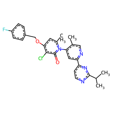 Cc1cnc(-c2ccnc(C(C)C)n2)cc1-n1c(C)cc(OCc2ccc(F)cc2)c(Cl)c1=O